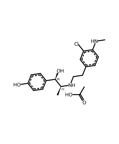 CC(=O)O.CNc1ccc(CCN[C@@H](C)[C@H](O)c2ccc(O)cc2)cc1Cl